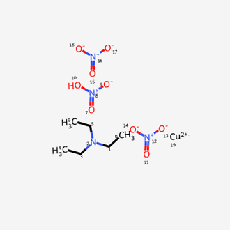 CCN(CC)CC.O=[N+]([O-])O.O=[N+]([O-])[O-].O=[N+]([O-])[O-].[Cu+2]